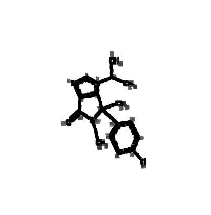 CC(C)n1cnc2c1C(C)(c1ccc(Cl)cc1)N(C)C2=O